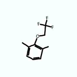 Cc1cccc(C)c1OCC(F)(F)F